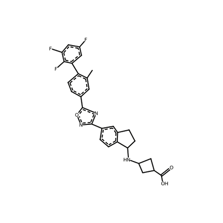 Cc1cc(-c2nc(-c3ccc4c(c3)CCC4NC3CC(C(=O)O)C3)no2)ccc1-c1cc(F)cc(F)c1F